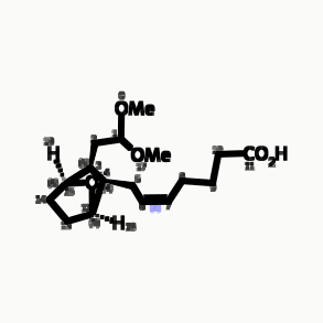 COC(C[C@H]1[C@@H](C/C=C\CCCC(=O)O)[C@H]2CC[C@@H]1O2)OC